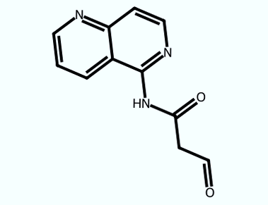 O=CCC(=O)Nc1nccc2ncccc12